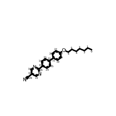 CCCCCCCOc1ccc(-c2ccc(-c3ncc(C#N)cn3)cc2)cc1